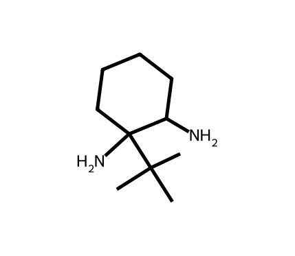 CC(C)(C)C1(N)CCCCC1N